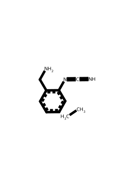 CC.N=C=Nc1ccccc1CN